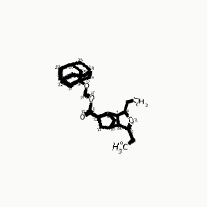 CCC1OC(CC)C2C3CC(CC3C(=O)OCOC34CC5CC(CC(C5)C3)C4)C12